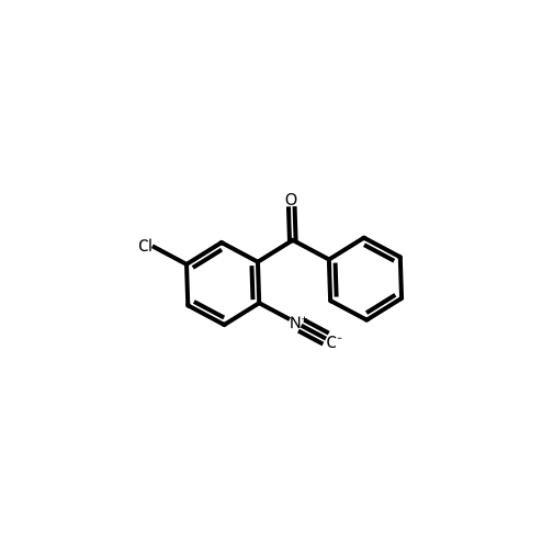 [C-]#[N+]c1ccc(Cl)cc1C(=O)c1ccccc1